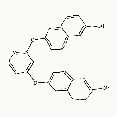 Oc1ccc2cc(Oc3cc(Oc4ccc5cc(O)ccc5c4)ncn3)ccc2c1